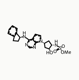 COS(=O)(=O)N[C@H]1C[C@@H](n2ccc3c(N[C@H]4CCc5ccccc54)ncnc32)C[C@@H]1O